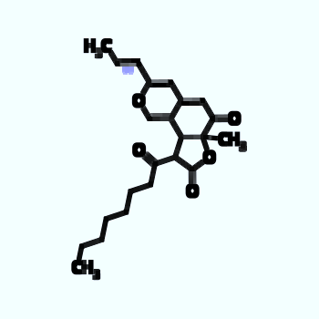 C/C=C/C1=CC2=CC(=O)C3(C)OC(=O)C(C(=O)CCCCCCC)C3C2=CO1